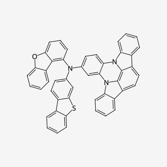 c1ccc2c(c1)oc1cccc(N(c3ccc4c(c3)sc3ccccc34)c3ccc4c(c3)n3c5ccccc5c5ccc6c7ccccc7n4c6c53)c12